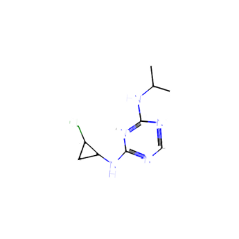 CC(C)Nc1ncnc(NC2CC2Cl)n1